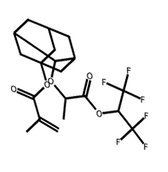 C=C(C)C(=O)OC12CC3CC(C1)C(OC(C)C(=O)OC(C(F)(F)F)C(F)(F)F)C(C3)C2